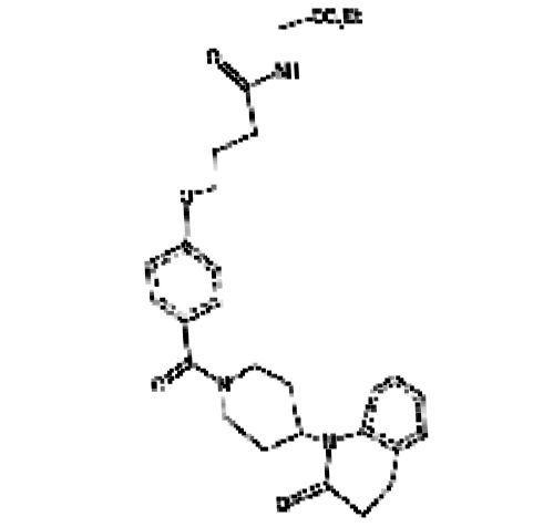 CCOC(=O)CNC(=O)CCCOc1ccc(C(=O)N2CCC(N3C(=O)CCc4ccccc43)CC2)cc1